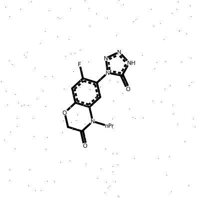 CCCN1C(=O)COc2cc(F)c(-n3nn[nH]c3=O)cc21